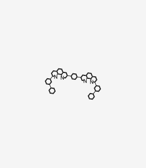 c1ccc(-c2cccc(-c3ccc4ccc5cc(-c6ccc(-c7cnc8c(ccc9ccc(-c%10cccc(-c%11ccccc%11)c%10)nc98)c7)cc6)cnc5c4n3)c2)cc1